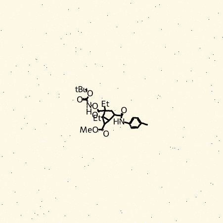 CCC1(C(=O)ONC(=O)OC(C)(C)C)CC(C(=O)Nc2ccc(C)cc2)C2C(C(=O)OC)C21CC